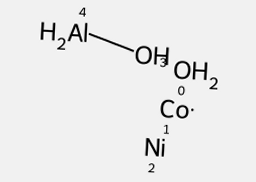 O.[Co].[Ni].[OH][AlH2]